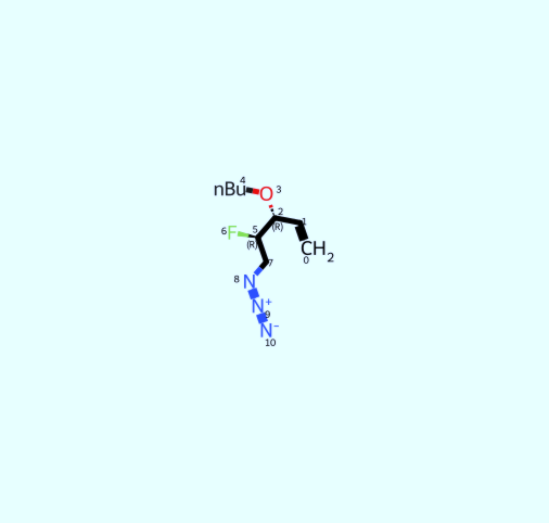 C=C[C@@H](OCCCC)[C@H](F)CN=[N+]=[N-]